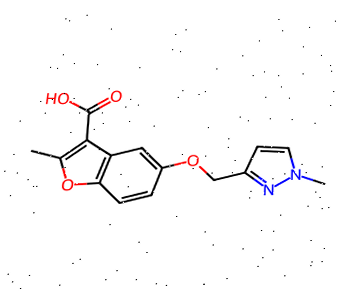 Cc1oc2ccc(OCc3ccn(C)n3)cc2c1C(=O)O